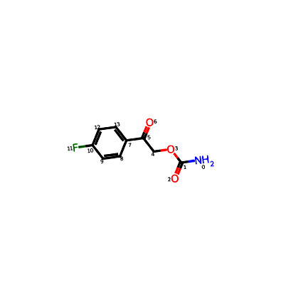 NC(=O)OCC(=O)c1ccc(F)cc1